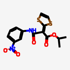 CC(C)OC(=O)C(C(=O)Nc1cccc([N+](=O)[O-])c1)=C1SC=CS1